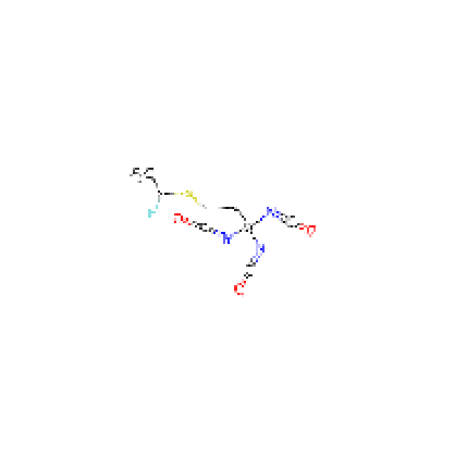 O=C=N[Si](CCSC(F)C(F)(F)F)(N=C=O)N=C=O